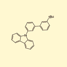 CC(C)(C)c1cccc(-c2cccc(-n3c4ccccc4c4ccccc43)c2)c1